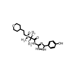 C=S(=O)(CCC1CCOCC1)C(C)(C)C(=O)NC1=NC(c2ccc(O)cc2)NN1